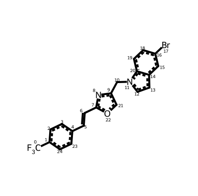 FC(F)(F)c1ccc(/C=C/c2nc(Cn3ccc4cc(Br)ccc43)co2)cc1